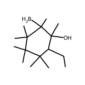 BC1(C)C(C)(O)C(CC)C(C)(C)C(C)(C)C1(C)C